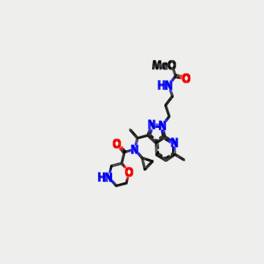 COC(=O)NCCCn1nc(C(C)N(C(=O)C2CNCCO2)C2CC2)c2ccc(C)nc21